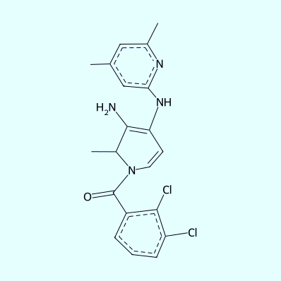 Cc1cc(C)nc(NC2=C(N)C(C)N(C(=O)c3cccc(Cl)c3Cl)C=C2)c1